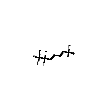 FC(F)(F)C=CC=CC(F)(F)C(F)(F)F